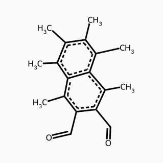 Cc1c(C)c(C)c2c(C)c(C=O)c(C=O)c(C)c2c1C